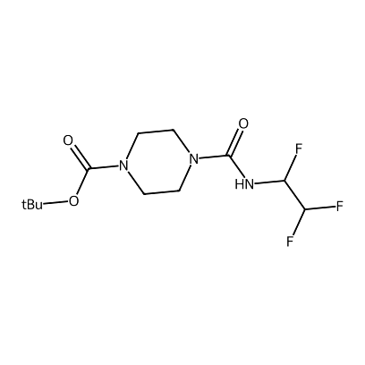 CC(C)(C)OC(=O)N1CCN(C(=O)NC(F)C(F)F)CC1